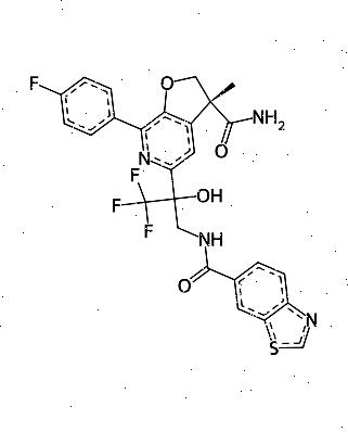 C[C@]1(C(N)=O)COc2c1cc(C(O)(CNC(=O)c1ccc3ncsc3c1)C(F)(F)F)nc2-c1ccc(F)cc1